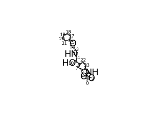 CS(=O)(=O)Nc1ccc(C(O)CNCCOc2ccccc2)cc1